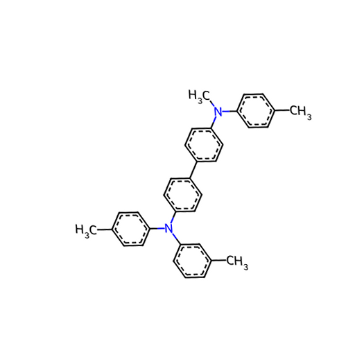 Cc1ccc(N(C)c2ccc(-c3ccc(N(c4ccc(C)cc4)c4cccc(C)c4)cc3)cc2)cc1